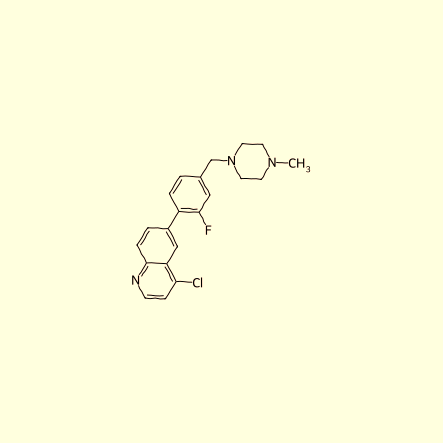 CN1CCN(Cc2ccc(-c3ccc4nccc(Cl)c4c3)c(F)c2)CC1